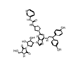 O=C(Nc1cccnc1)NC1CCN(c2nc(NCC(c3ccc(O)cc3)c3ccc(O)cc3)c3ncn([C@@H]4C[C@H](N5C(=O)NC(CO)C5=O)[C@@H](O)[C@H]4O)c3n2)C1